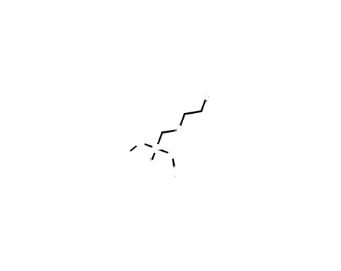 CCO[Si](C)(CNCCN)OCC